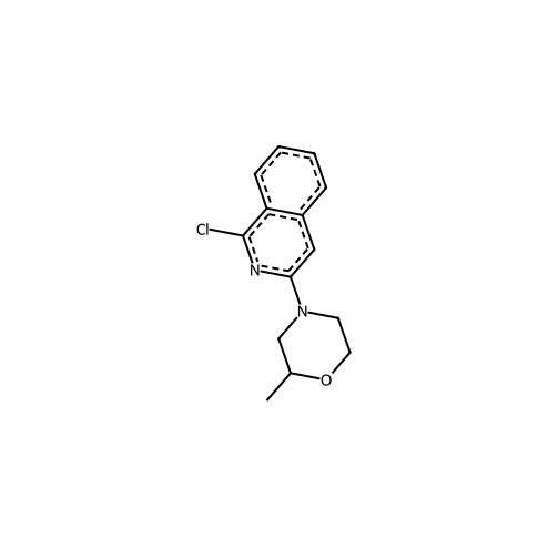 CC1CN(c2cc3ccccc3c(Cl)n2)CCO1